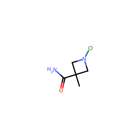 CC1(C(N)=O)CN(Cl)C1